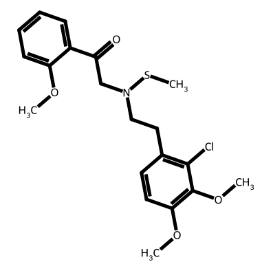 COc1ccccc1C(=O)CN(CCc1ccc(OC)c(OC)c1Cl)SC